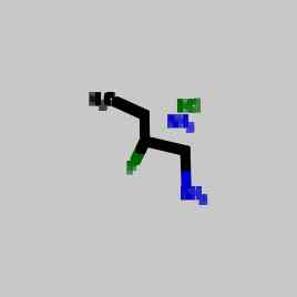 CCC(F)CN.Cl.N